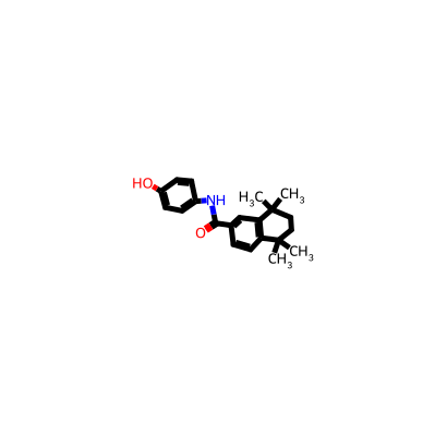 CC1(C)CCC(C)(C)c2cc(C(=O)Nc3ccc(O)cc3)ccc21